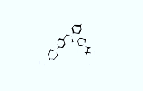 CN1CCN(c2ccc(CN(C(=O)[C@@H]3CCN(C(=O)C(C)(C)C)C3)c3ccc(F)cc3)cn2)CC1